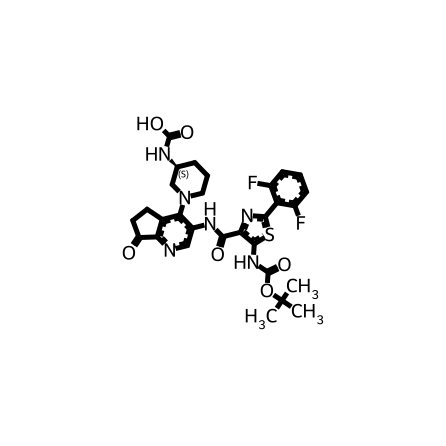 CC(C)(C)OC(=O)Nc1sc(-c2c(F)cccc2F)nc1C(=O)Nc1cnc2c(c1N1CCC[C@H](NC(=O)O)C1)CCC2=O